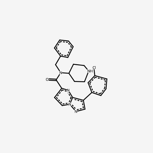 O=C(c1ccn2ncc(-c3cccc(Cl)c3)c2n1)N(Cc1ccccc1)C1CCNCC1